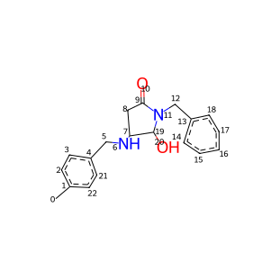 Cc1ccc(CNC2CC(=O)N(Cc3ccccc3)C2O)cc1